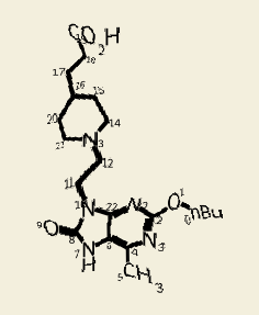 CCCCOc1nc(C)c2[nH]c(=O)n(CCN3CCC(CCC(=O)O)CC3)c2n1